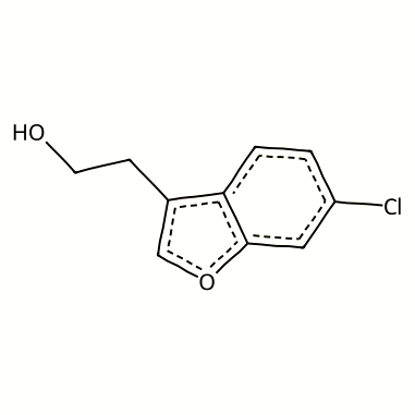 OCCc1coc2cc(Cl)ccc12